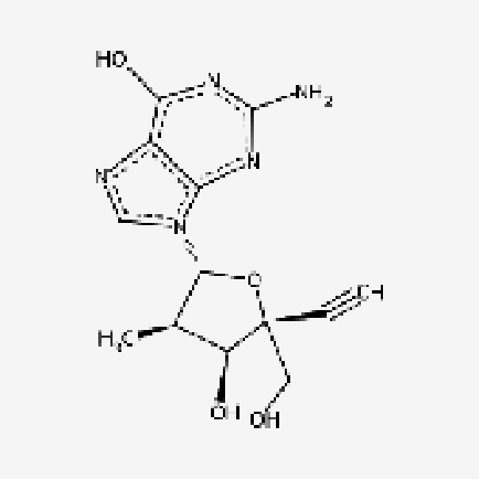 C#C[C@]1(CO)O[C@@H](n2cnc3c(O)nc(N)nc32)[C@H](C)[C@@H]1O